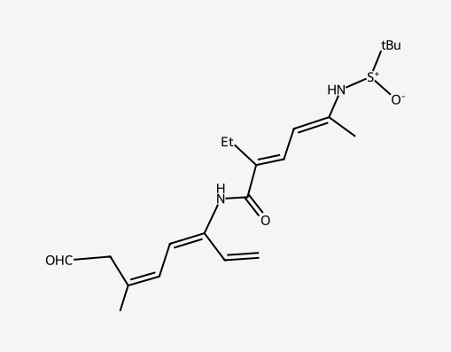 C=C/C(=C\C=C(\C)CC=O)NC(=O)/C(=C/C=C(\C)N[S+]([O-])C(C)(C)C)CC